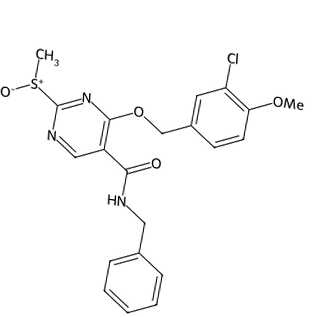 COc1ccc(COc2nc([S+](C)[O-])ncc2C(=O)NCc2ccccc2)cc1Cl